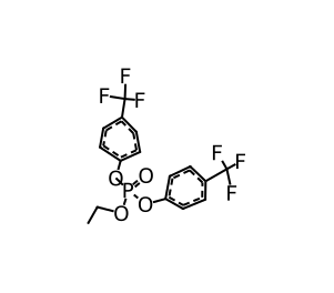 CCOP(=O)(Oc1ccc(C(F)(F)F)cc1)Oc1ccc(C(F)(F)F)cc1